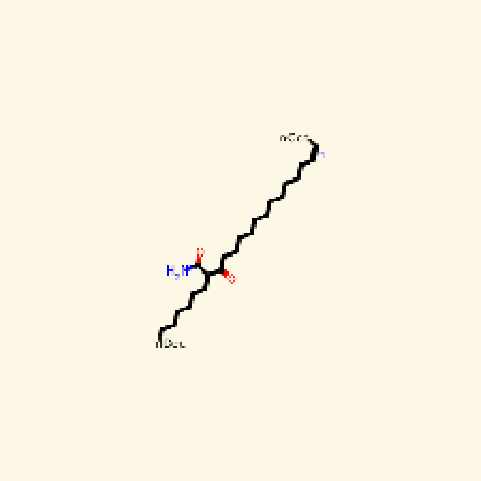 CCCCCCCC/C=C\CCCCCCCCCCCC(=O)C(CCCCCCCCCCCCCCCC)C(N)=O